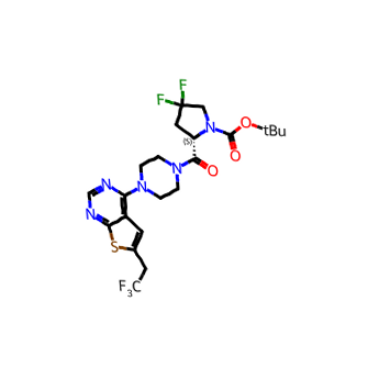 CC(C)(C)OC(=O)N1CC(F)(F)C[C@H]1C(=O)N1CCN(c2ncnc3sc(CC(F)(F)F)cc23)CC1